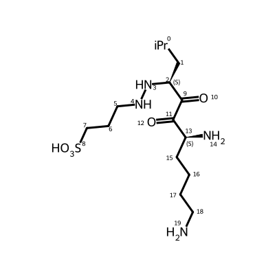 CC(C)C[C@H](NNCCCS(=O)(=O)O)C(=O)C(=O)[C@@H](N)CCCCN